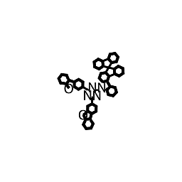 c1ccc2c(c1)-c1ccccc1C21c2ccccc2-c2c1ccc1c2c2ccccc2n1-c1nc(-c2ccc3c(c2)oc2ccccc23)nc(-c2ccc3c(c2)oc2ccccc23)n1